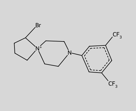 FC(F)(F)c1cc(N2CC[N+]3(CCCC3Br)CC2)cc(C(F)(F)F)c1